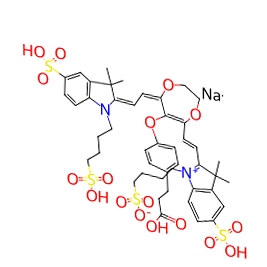 CC1(C)C(/C=C/C2=C(Oc3ccc(CCC(=O)O)cc3)C(=C\C=C3\N(CCCCS(=O)(=O)O)c4ccc(S(=O)(=O)O)cc4C3(C)C)/OCCO2)=[N+](CCCCS(=O)(=O)[O-])c2ccc(S(=O)(=O)O)cc21.[Na]